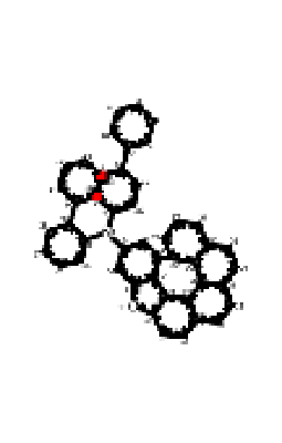 c1ccc(-c2ccc(N(c3cc4c5c(c3)oc3ccc6ccc7ccc8cccc-4c8c7c6c35)c3ccccc3-c3ccccc3)cc2)cc1